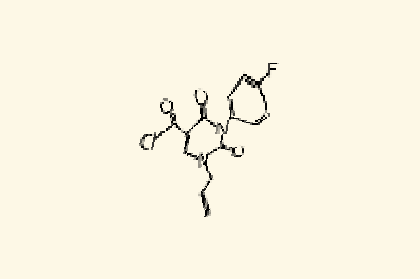 C=CCn1cc(C(=O)Cl)c(=O)n(-c2ccc(F)cc2)c1=O